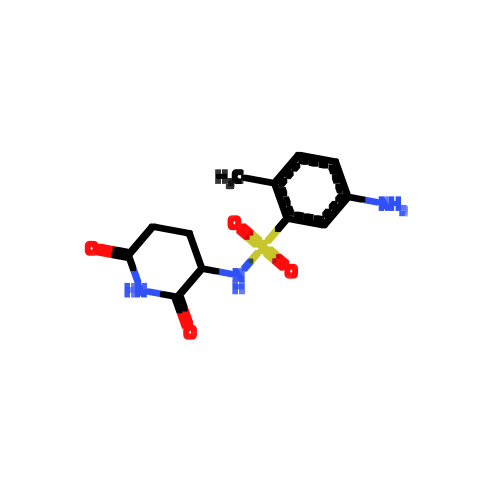 Cc1ccc(N)cc1S(=O)(=O)NC1CCC(=O)NC1=O